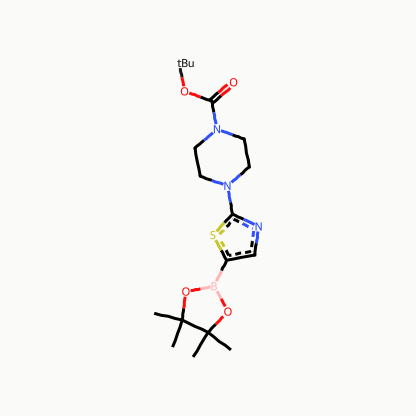 CC(C)(C)OC(=O)N1CCN(c2ncc(B3OC(C)(C)C(C)(C)O3)s2)CC1